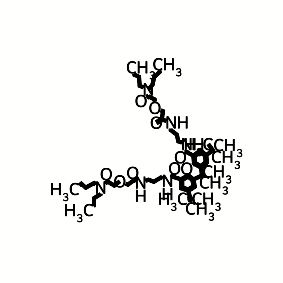 CCCCN(CCCC)C(=O)COCC(=O)NCCCNC(=O)c1cc(C(C)(C)C)cc2c1Oc1c(C(=O)NCCCNC(=O)COCC(=O)N(CCCC)CCCC)cc(C(C)(C)C)cc1C2(C)C